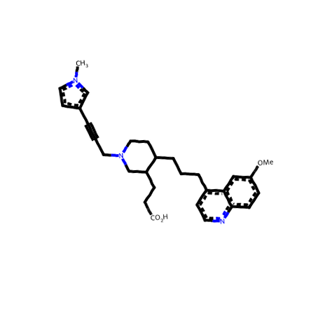 COc1ccc2nccc(CCCC3CCN(CC#Cc4ccn(C)c4)CC3CCC(=O)O)c2c1